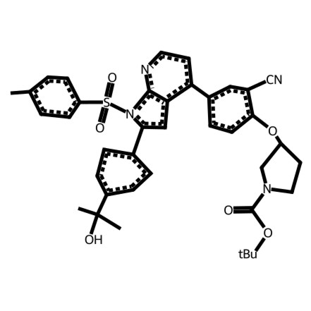 Cc1ccc(S(=O)(=O)n2c(-c3ccc(C(C)(C)O)cc3)cc3c(-c4ccc(OC5CCN(C(=O)OC(C)(C)C)C5)c(C#N)c4)ccnc32)cc1